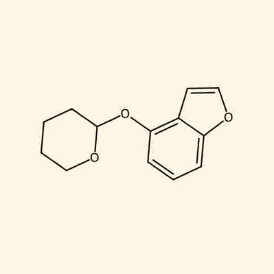 c1cc(OC2CCCCO2)c2ccoc2c1